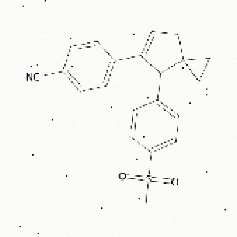 CS(=O)(=O)c1ccc(C2C(c3ccc(C#N)cc3)=CCC23CC3)cc1